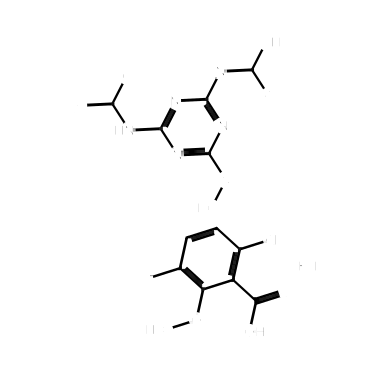 COc1c(Cl)ccc(Cl)c1C(=O)O.CSc1nc(NC(C)C)nc(NC(C)C)n1.[KH]